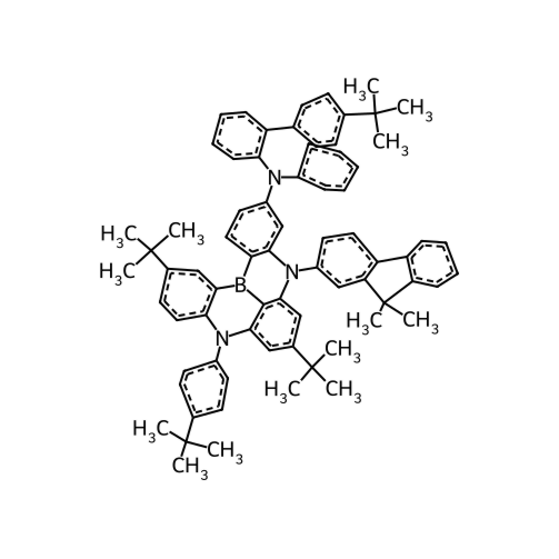 CC(C)(C)c1ccc(-c2ccccc2N(c2ccccc2)c2ccc3c(c2)N(c2ccc4c(c2)C(C)(C)c2ccccc2-4)c2cc(C(C)(C)C)cc4c2B3c2cc(C(C)(C)C)ccc2N4c2ccc(C(C)(C)C)cc2)cc1